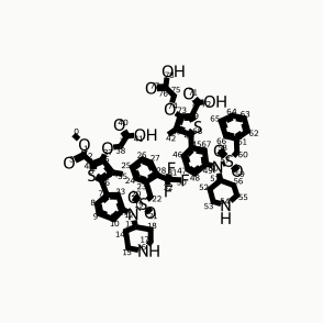 COC(=O)c1sc(-c2cccc(N(C3CCNCC3)S(=O)(=O)Cc3ccccc3C(F)(F)F)c2)c(C)c1OCC(=O)O.Cc1c(-c2cccc(N(C3CCNCC3)S(=O)(=O)Cc3ccccc3)c2)sc(C(=O)O)c1OCC(=O)O